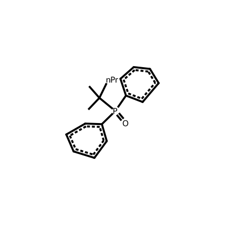 CCCC(C)(C)P(=O)(c1ccccc1)c1ccccc1